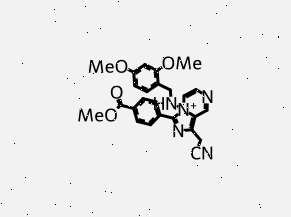 COC(=O)c1ccc(C2=NC(CC#N)=C3C=NC=C[N+]23NCc2ccc(OC)cc2OC)cc1